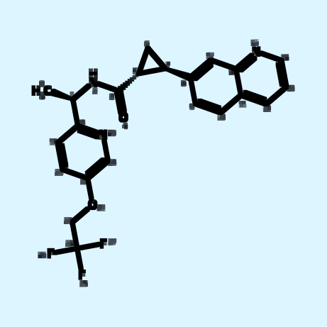 C[C@@H](NC(=O)[C@@H]1C[C@H]1c1ccc2cccnc2c1)c1ccc(OCC(F)(F)F)cn1